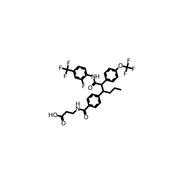 CCCC(c1ccc(C(=O)NCCC(=O)O)cc1)C(C(=O)Nc1ccc(C(F)(F)F)cc1F)c1ccc(OC(F)(F)F)cc1